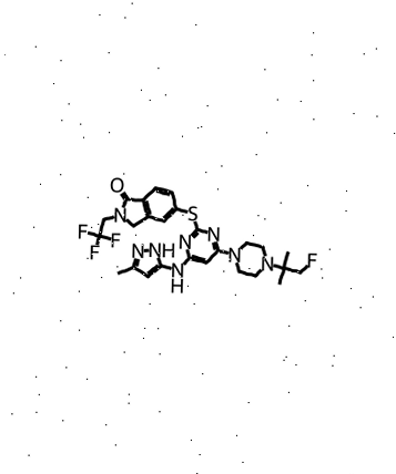 Cc1cc(Nc2cc(N3CCN(C(C)(C)CF)CC3)nc(Sc3ccc4c(c3)CN(CC(F)(F)F)C4=O)n2)[nH]n1